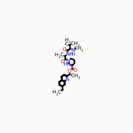 C=Cc1ccc2ccc([C@@H](C)OC(=O)[C@@H]3CCCN(C(=O)[C@H](C)NC(=O)[C@@H](NC)C(C)C)N3)nc2c1